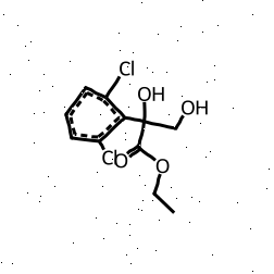 CCOC(=O)C(O)(CO)c1c(Cl)cccc1Cl